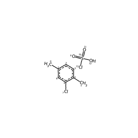 Cc1ccc(C)c(Cl)c1.O=S(=O)(O)Cl